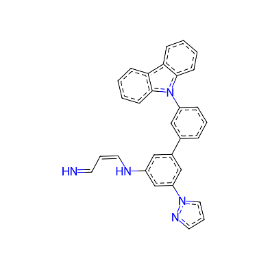 N=C/C=C\Nc1cc(-c2cccc(-n3c4ccccc4c4ccccc43)c2)cc(-n2cccn2)c1